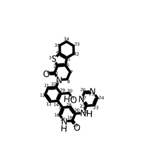 O=C1c2sc3c(c2CCN1c1cccc(-c2c[nH]c(=O)c(Nc4ccncn4)c2)c1CO)CCCC3